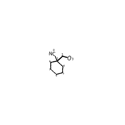 N#CC1(C[O])CCCCC1